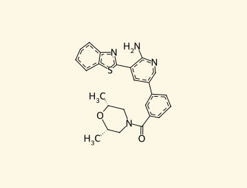 C[C@@H]1CN(C(=O)c2cccc(-c3cnc(N)c(-c4nc5ccccc5s4)c3)c2)C[C@H](C)O1